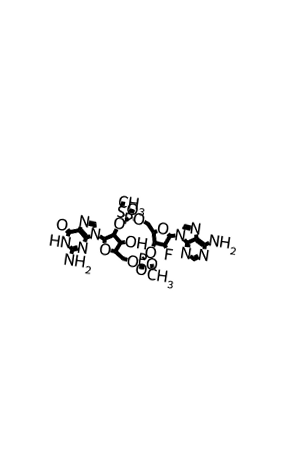 COP1(=O)OCC2OC(n3cnc4c(=O)[nH]c(N)nc43)C(OP(=O)(SC)OCC3OC(n4cnc5c(N)ncnc54)C(F)C3O1)C2O